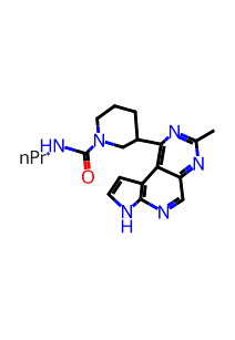 CCCNC(=O)N1CCCC(c2nc(C)nc3cnc4[nH]ccc4c23)C1